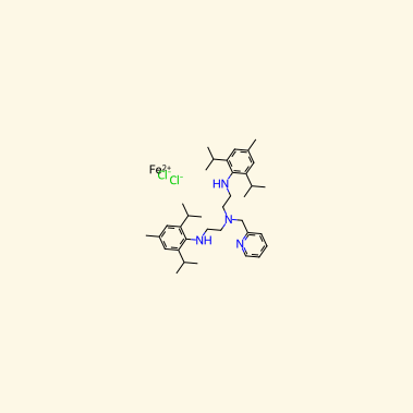 Cc1cc(C(C)C)c(NCCN(CCNc2c(C(C)C)cc(C)cc2C(C)C)Cc2ccccn2)c(C(C)C)c1.[Cl-].[Cl-].[Fe+2]